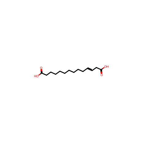 O=C(O)CC=CCCCCCCCCCC(=O)O